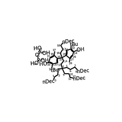 CCCCCCCCCCCCCC(CCCCCCCCCCCCC)(CCCCCCCCCCCCC)CCC(CCCCCCCCCCCCC)(c1cc(C(C)(C)C)c(O)cc1C)c1cc(C(C)(C)C)c(O)cc1C.OP(O)OP(O)O